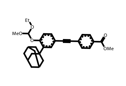 CCOC(OC)Oc1ccc(C#Cc2ccc(C(=O)OC)cc2)cc1C12CC3CC(CC(C3)C1)C2